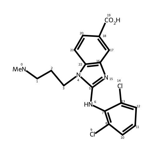 CNCCCn1c(Nc2c(Cl)cccc2Cl)nc2cc(C(=O)O)ccc21